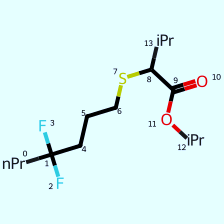 CCCC(F)(F)CCCSC(C(=O)OC(C)C)C(C)C